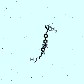 C=CCCCOc1ccc(OC(=O)c2ccc(-c3ccc(CC[C@@H](C)CC)cc3)cc2)cc1